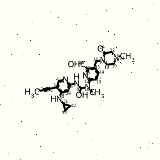 CC#Cc1cnc(NC(O)N(C)c2ccc(CN3CCN(C)CC3=O)c(C=O)n2)cc1NC1CC1